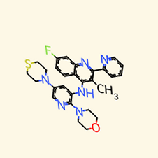 Cc1c(-c2ccccn2)nc2cc(F)ccc2c1Nc1cc(N2CCSCC2)cnc1N1CCOCC1